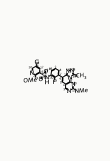 CNc1ncc2cc(-c3cccc(NS(=O)(=O)c4cc(Cl)cnc4OC)c3F)c3nnc(C)n3c2n1